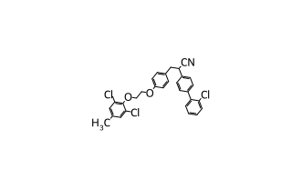 Cc1cc(Cl)c(OCCOc2ccc(CC(C#N)c3ccc(-c4ccccc4Cl)cc3)cc2)c(Cl)c1